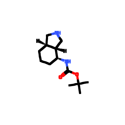 CC(C)(C)OC(=O)N[C@@H]1CCC[C@H]2CNC[C@@H]21